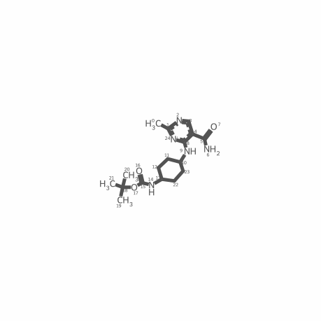 Cc1ncc(C(N)=O)c(NC2CCC(NC(=O)OC(C)(C)C)CC2)n1